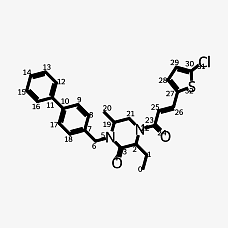 CCC1C(=O)N(Cc2ccc(-c3ccccc3)cc2)C(C)CN1C(=O)/C=C/c1ccc(Cl)s1